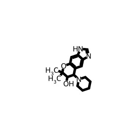 CC1(C)Oc2cc3[nH]cnc3cc2C(N2CCCCC2)C1O